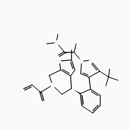 C=CC(=O)N1Cc2sc(C)cc2[C@@H](c2ccccc2-c2cn(C(C)C(=O)N(C)C)nc2C(C)(F)F)C1